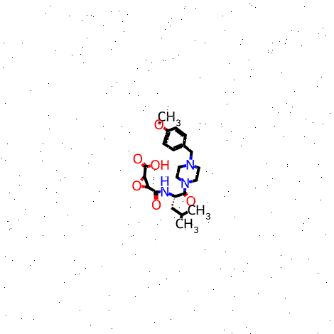 COc1ccc(CN2CCN(C(=O)[C@H](CC(C)C)NC(=O)C3OC3C(=O)O)CC2)cc1